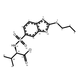 CCCSc1nc2ccc(S(=O)(=O)N[C@@H](C(=O)Cl)C(C)C)cc2o1